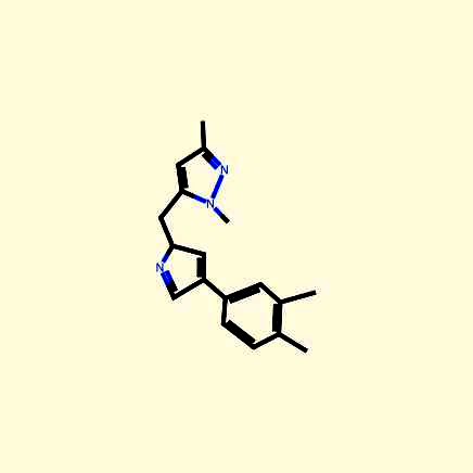 Cc1cc(CC2C=C(c3ccc(C)c(C)c3)C=N2)n(C)n1